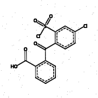 O=C(O)c1ccccc1C(=O)c1ccc(Cl)cc1S(=O)(=O)Cl